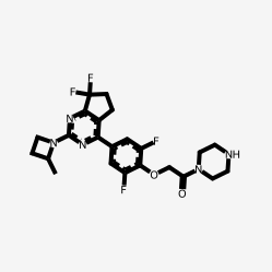 CC1CCN1c1nc(-c2cc(F)c(OCC(=O)N3CCNCC3)c(F)c2)c2c(n1)C(F)(F)CC2